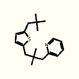 CC(C)(C)Cc1ccc(CC(C)(C)Cc2ccccn2)s1